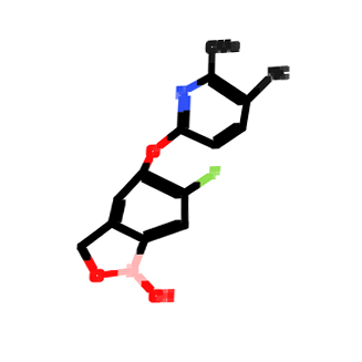 [C-]#[N+]c1ccc(Oc2cc3c(cc2F)B(O)OC3)nc1OC